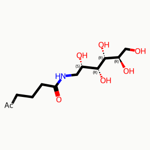 CC(=O)CCCC(=O)NC[C@H](O)[C@@H](O)[C@H](O)[C@H](O)CO